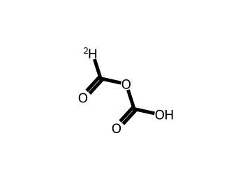 [2H]C(=O)OC(=O)O